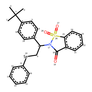 CC(C)(C)c1ccc(C(C[Se]c2ccccc2)N2C(=O)c3ccccc3S2(=O)=O)cc1